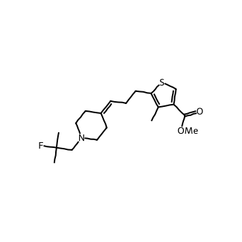 COC(=O)c1csc(CCC=C2CCN(CC(C)(C)F)CC2)c1C